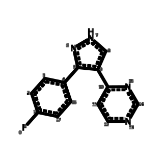 Fc1ccc(-c2n[nH]cc2-c2ccn[c]n2)cc1